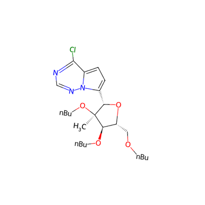 CCCCOC[C@H]1O[C@@H](c2ccc3c(Cl)ncnn23)[C@](C)(OCCCC)[C@@H]1OCCCC